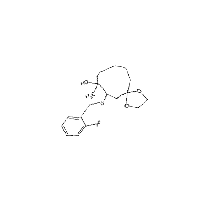 CC1(O)CCCCC2(CC1OCc1ccccc1F)OCCO2